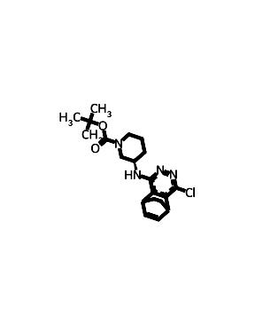 CC(C)(C)OC(=O)N1CCC[C@@H](Nc2nnc(Cl)c3c2C2C=CC3CC2)C1